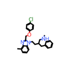 CNCC(CCn1c(COc2ccc(Cl)cc2)nc2c(C)cccc21)Cc1ccccc1